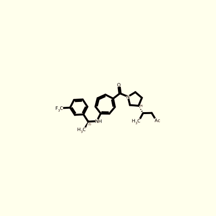 CC(=O)CC(C)[C@H]1CCN(C(=O)C2=CC=C(N[C@@H](C)c3cccc(C(F)(F)F)c3)C=C=C2)C1